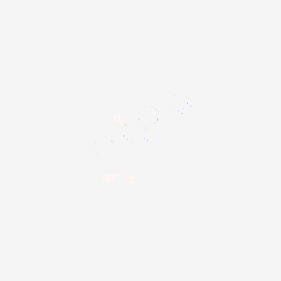 O=C(O)CSc1nc2cc(-c3cc[nH]n3)ccc2c(=O)n1-c1ccc(F)cc1